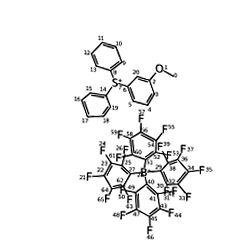 COc1cccc([S+](c2ccccc2)c2ccccc2)c1.Fc1c(F)c(F)c([B-](c2c(F)c(F)c(F)c(F)c2F)(c2c(F)c(F)c(F)c(F)c2F)c2c(F)c(F)c(F)c(F)c2F)c(F)c1F